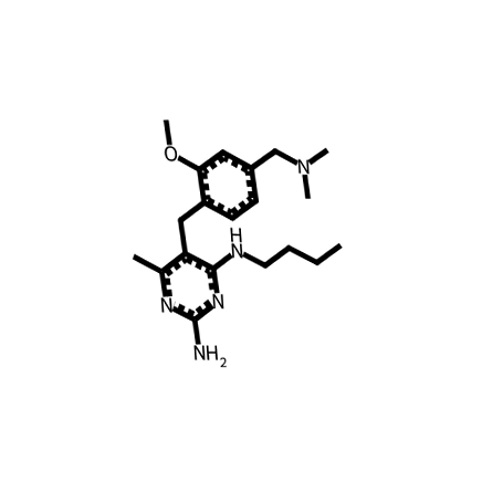 CCCCNc1nc(N)nc(C)c1Cc1ccc(CN(C)C)cc1OC